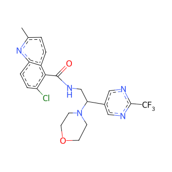 Cc1ccc2c(C(=O)NCC(c3cnc(C(F)(F)F)nc3)N3CCOCC3)c(Cl)ccc2n1